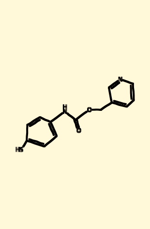 O=C(Nc1ccc(S)cc1)OCc1cccnc1